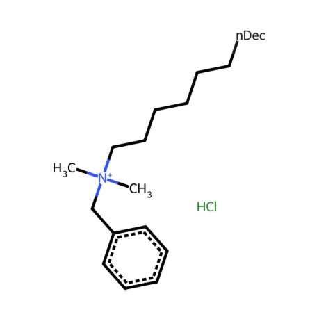 CCCCCCCCCCCCCCCC[N+](C)(C)Cc1ccccc1.Cl